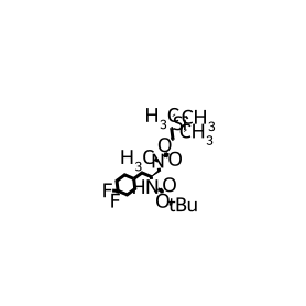 CN(C[C@H](CC1CCC(F)(F)CC1)NC(=O)OC(C)(C)C)C(=O)OCC[Si](C)(C)C